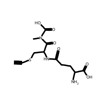 C#CSCC(NC(=O)CCC(N)C(=O)O)C(=O)N(C)C(=O)O